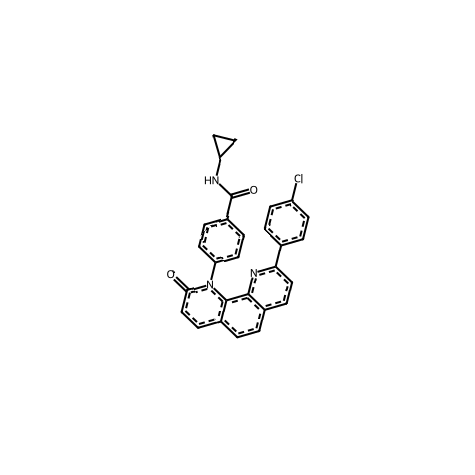 O=C(NC1CC1)c1ccc(-n2c(=O)ccc3ccc4ccc(-c5ccc(Cl)cc5)nc4c32)cc1